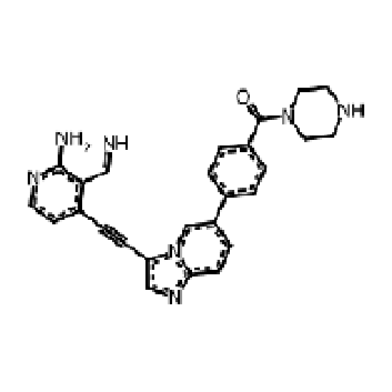 N=Cc1c(C#Cc2cnc3ccc(-c4ccc(C(=O)N5CCNCC5)cc4)cn23)ccnc1N